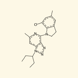 CCC(CC)n1nnc2c(N3CCc4cc(C)cc(Cl)c43)nc(C)cc21